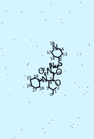 CC(C)CC(C(=O)c1nnc(SC2CCN(C)CC2)o1)N(C=O)C1CCCCC1